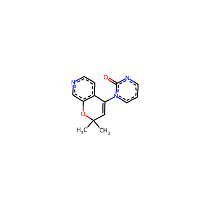 CC1(C)C=C(n2cccnc2=O)c2ccncc2O1